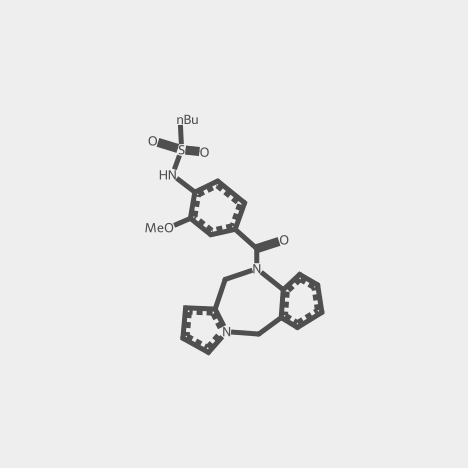 CCCCS(=O)(=O)Nc1ccc(C(=O)N2Cc3cccn3Cc3ccccc32)cc1OC